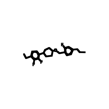 CCCc1ccc(COC2CCC(c3ccc(CC)c(F)c3F)CC2)c(F)c1